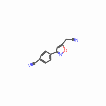 N#CCc1cc(-c2ccc(C#N)cc2)no1